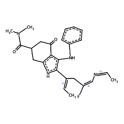 C/C=N\C=C(\F)C/C(=C\C)c1[nH]c2c(c1Nc1ccccc1)C(=O)CC(C(=O)N(C)C)C2